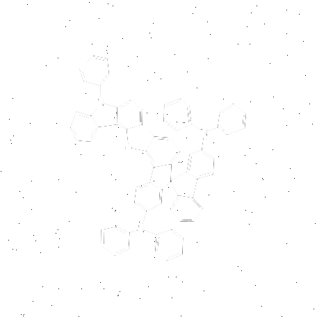 c1ccc(N(c2ccccc2)c2ccc3c(c2)C2(c4ccccc4-3)c3cc(N(c4ccccc4)c4ccccc4)ccc3-c3c2ccc2c3oc3c2ccc2c3c3ccccc3n2-c2ccccc2)cc1